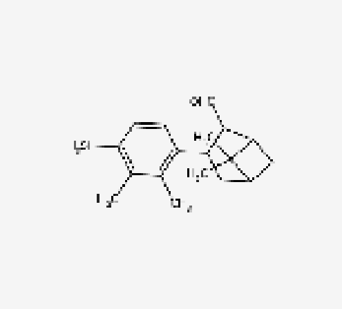 Cc1c([SiH3])ccc(C2CC3CC(C2C=O)C3(C)C)c1C